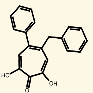 O=c1c(O)cc(Cc2ccccc2)c(-c2ccccc2)cc1O